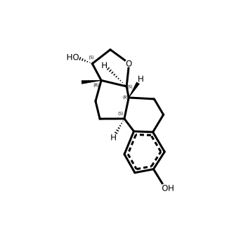 C[C@]12CC[C@@H]3c4ccc(O)cc4CC[C@H]3[C@@H]1OC[C@H]2O